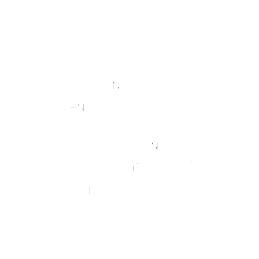 CC(C)n1cc([C@@H](C)N(C)C(=O)Nc2ccc(F)c(Cl)c2)c2ccccc2c1=O